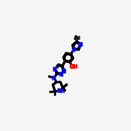 CC(=O)c1cn(-c2ccc(-c3cnc(N(C)C4CC(C)(C)NC(C)(C)C4)nn3)c(O)c2)cn1